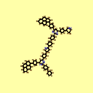 c1ccc(-c2ccc(-c3nc(-c4ccc(-c5ccc(-c6ccc(-c7ccc(-c8nc(-c9ccc(-c%10cccnc%10)cc9)cc(-c9ccc(-c%10ccc%11ccc%12cccc%13ccc%10c%11c%12%13)cc9)n8)cc7)cc6)nc5)cc4)cc(-c4ccc(-c5ccc6ccc7cccc8ccc5c6c78)cc4)n3)cc2)cc1